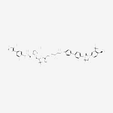 Cc1ncsc1-c1ccc([C@H](C)NC(=O)[C@@H]2C[C@@H](O)CN2C(=O)C(NC(=O)COC[C@@H](O)[C@H](O)COc2ccc(-c3ccc(N4C(=S)N(c5ccc(C#N)c(C(F)(F)F)c5)C(=O)C4(C)C)cc3)cc2)C(C)(C)C)cc1